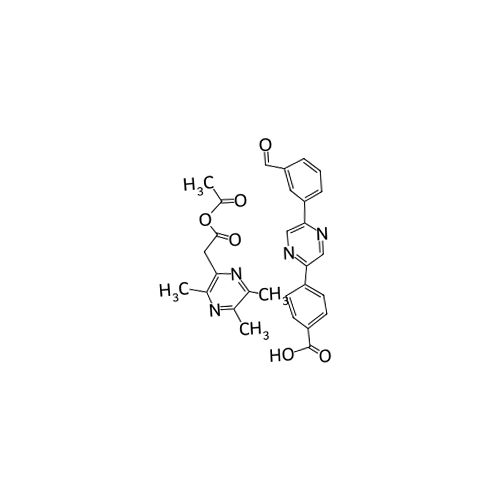 CC(=O)OC(=O)Cc1nc(C)c(C)nc1C.O=Cc1cccc(-c2cnc(-c3ccc(C(=O)O)cc3)cn2)c1